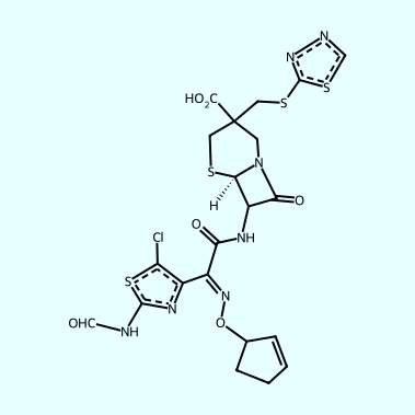 O=CNc1nc(C(=NOC2C=CCC2)C(=O)NC2C(=O)N3CC(CSc4nncs4)(C(=O)O)CS[C@H]23)c(Cl)s1